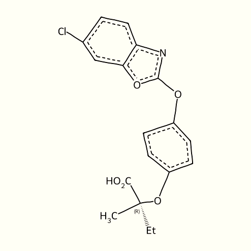 CC[C@@](C)(Oc1ccc(Oc2nc3ccc(Cl)cc3o2)cc1)C(=O)O